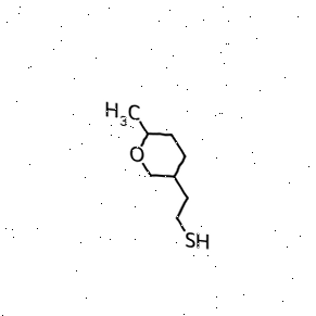 CC1CCC(CCS)CO1